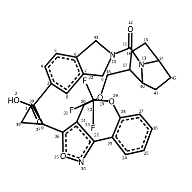 O=C(O)c1ccc2c(c1)CN(C(=O)N1C3CCC(COCc4c(-c5ccccc5OC(F)(F)F)noc4C4CC4)C1CC3)C2